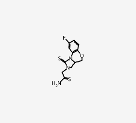 NC(=S)CN1CC2COc3ccc(F)cc3N2C1=S